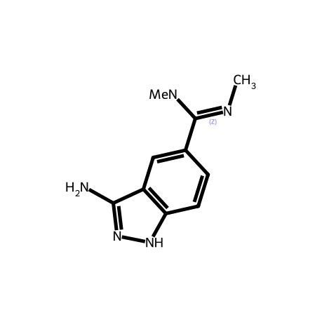 C/N=C(\NC)c1ccc2[nH]nc(N)c2c1